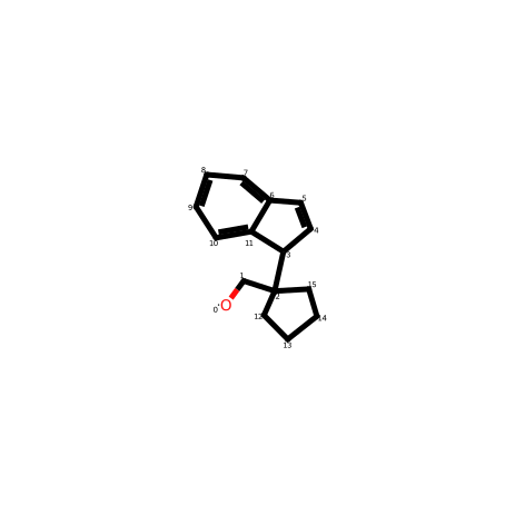 [O]CC1(C2C=Cc3ccccc32)CCCC1